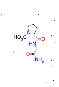 NC(=O)CNC(=O)[C@H]1CCCN1C(=O)O